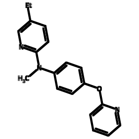 CCc1ccc(N(C)c2ccc(Oc3ccccn3)cc2)nc1